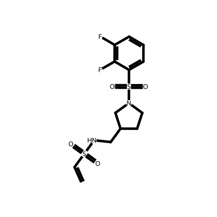 C=CS(=O)(=O)NCC1CCN(S(=O)(=O)c2cccc(F)c2F)C1